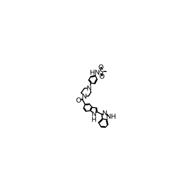 CS(=O)(=O)Nc1ccc(N2CCN(C(=O)c3ccc4[nH]c(-c5n[nH]c6ccccc56)cc4c3)CC2)cc1